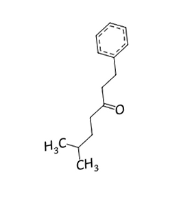 CC(C)CCC(=O)CCc1ccccc1